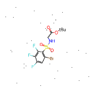 CC(C)(C)OC(=O)CNS(=O)(=O)c1c(Br)cc(F)c(F)c1F